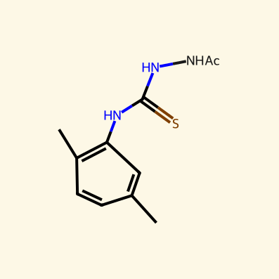 CC(=O)NNC(=S)Nc1cc(C)ccc1C